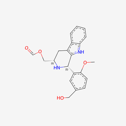 COc1ccc(CO)cc1[C@@H]1N[C@H](COC=O)Cc2c1[nH]c1ccccc21